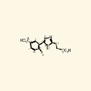 O=C(O)CSc1nnc(-c2cc(C(=O)O)ccc2F)[nH]1